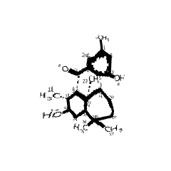 Cc1cc(O)cc(C(=O)[C@H]2[C@@H](C)C(O)CC3C(C)(C)CCC[C@@]32C)c1